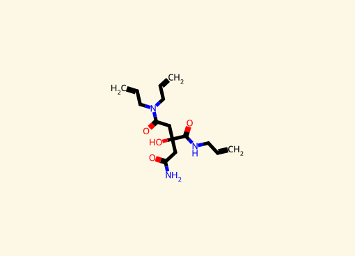 C=CCNC(=O)C(O)(CC(N)=O)CC(=O)N(CC=C)CC=C